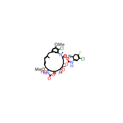 COc1cc2cc(c1Cl)N(C)C(=O)C[C@H](OC(=O)NC1=CC(Cl)=C(F)CC1[N+](=O)[O-])[C@]1(C)O[C@H]1[C@H](C)[C@@H]1C[C@@](O)(NC(=O)O1)[C@H](OC)/C=C/C=C(\C)C2